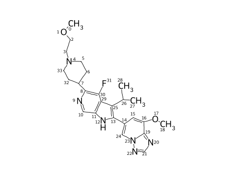 COCCN1CCC(c2ncc3[nH]c(-c4cc(OC)c5ncnn5c4)c(C(C)C)c3c2F)CC1